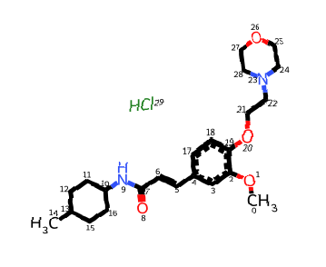 COc1cc(C=CC(=O)NC2CCC(C)CC2)ccc1OCCN1CCOCC1.Cl